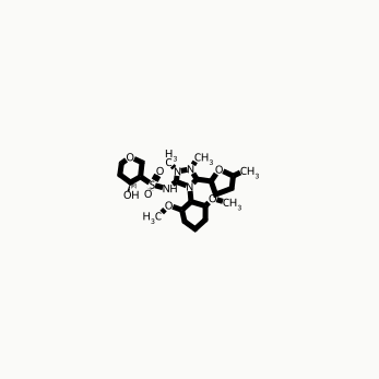 COC1CCCC(OC)C1N1C(NS(=O)(=O)C2COCC[C@H]2O)N(C)N(C)C1C1CCC(C)O1